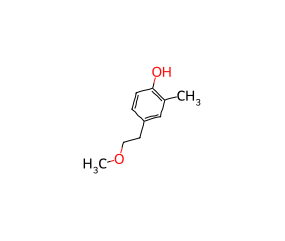 COCCc1ccc(O)c(C)c1